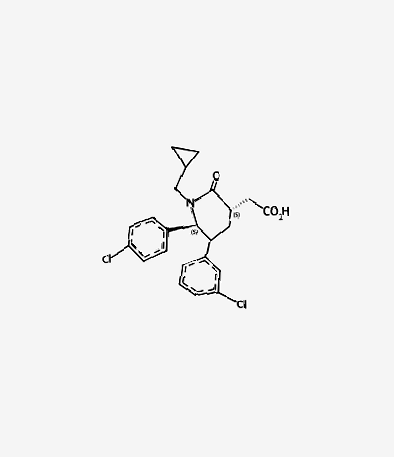 O=C(O)C[C@@H]1CC(c2cccc(Cl)c2)[C@@H](c2ccc(Cl)cc2)N(CC2CC2)C1=O